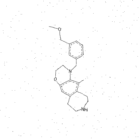 COCc1cccc(CN2CCOc3cc4c(c(C)c32)CCNCC4)c1